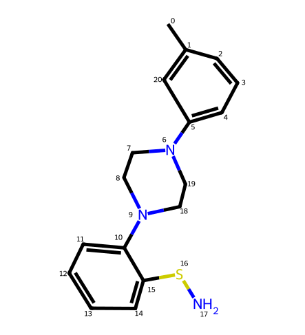 Cc1cccc(N2CCN(c3ccccc3SN)CC2)c1